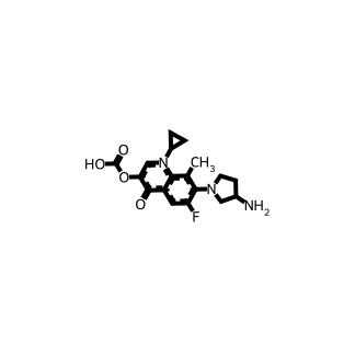 Cc1c(N2CCC(N)C2)c(F)cc2c(=O)c(OC(=O)O)cn(C3CC3)c12